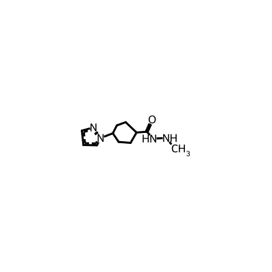 CNNC(=O)C1CCC(n2cccn2)CC1